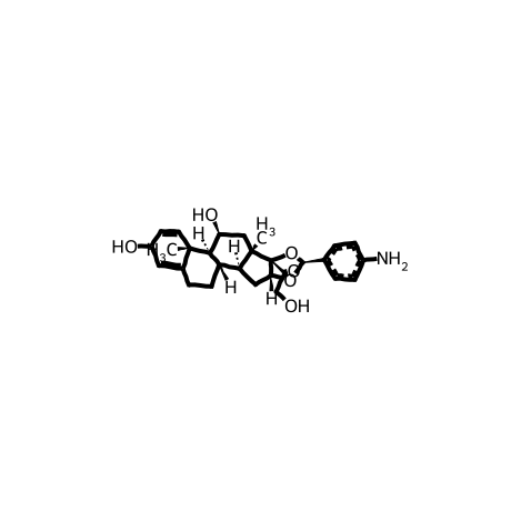 C[C@]12C=CC(O)C=C1CC[C@@H]1[C@@H]2[C@@H](O)C[C@@]2(C)[C@H]1C[C@H]1O[C@H](c3ccc(N)cc3)O[C@]12C(=O)CO